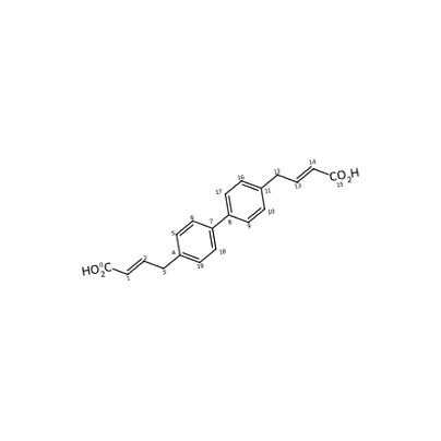 O=C(O)/C=C/Cc1ccc(-c2ccc(C/C=C/C(=O)O)cc2)cc1